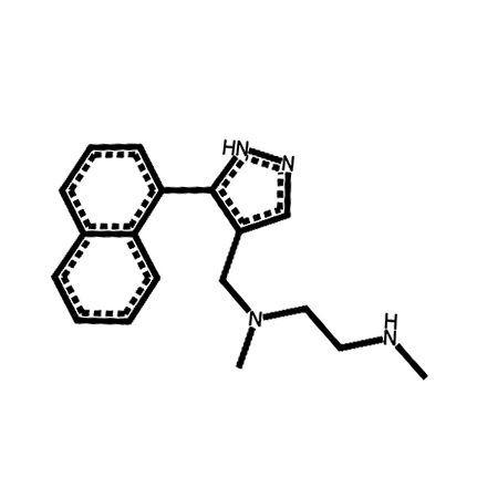 CNCCN(C)Cc1cn[nH]c1-c1cccc2ccccc12